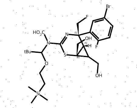 CC(C)(C)C(OCC[Si](C)(C)C)N(C(=O)O)C1=N[C@](CF)(c2cc(Br)ccc2F)[C@@H]2C(CO)[C@]2(CO)S1